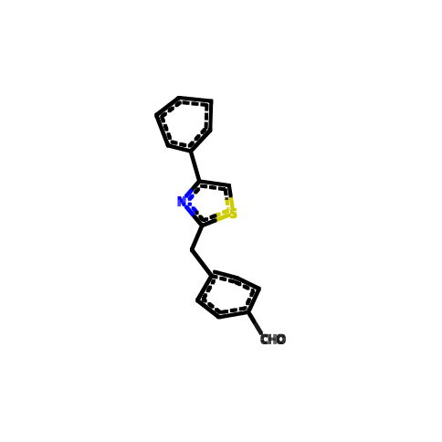 O=Cc1ccc(Cc2nc(-c3ccccc3)cs2)cc1